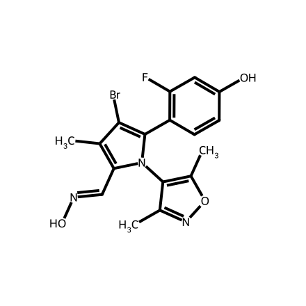 Cc1noc(C)c1-n1c(C=NO)c(C)c(Br)c1-c1ccc(O)cc1F